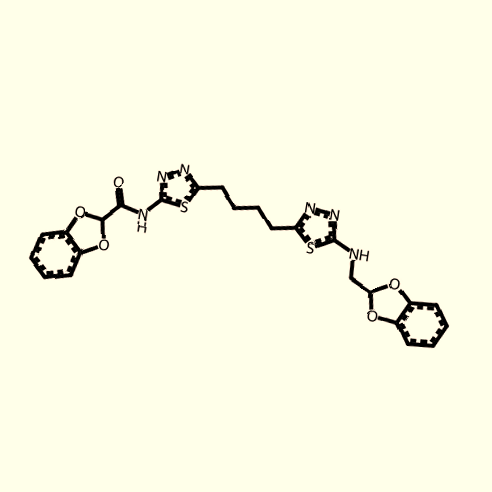 O=C(Nc1nnc(CCCCc2nnc(NCC3Oc4ccccc4O3)s2)s1)C1Oc2ccccc2O1